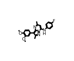 COc1ccc(-c2c(C)nn3c(Nc4ccc(F)cc4)cc(C)nc23)cc1OC